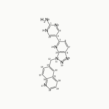 Nc1ncc(-c2ccc3nnn(Cc4ccc5ncccc5c4)c3n2)cn1